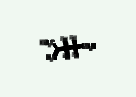 [2H]C([2H])(C(=O)O)C([2H])([2H])[C@H](N)C(=O)O